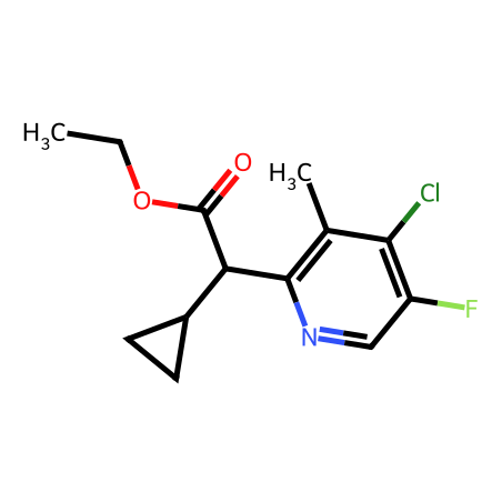 CCOC(=O)C(c1ncc(F)c(Cl)c1C)C1CC1